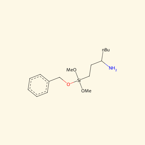 CCCCC(N)CC[Si](OC)(OC)OCc1ccccc1